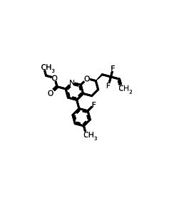 C=CC(F)(F)C[C@H]1CCc2c(-c3ccc(C)cc3F)cc(C(=O)OCC)nc2O1